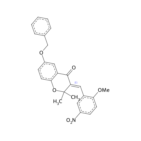 COc1ccc([N+](=O)[O-])cc1/C=C1/C(=O)c2cc(OCc3ccccc3)ccc2OC1(C)C